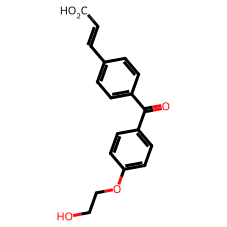 O=C(O)/C=C/c1ccc(C(=O)c2ccc(OCCO)cc2)cc1